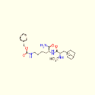 NC(=O)C(CCCCNC(=O)OCc1ccccc1)NC(=O)C(CC12CCC(CC1)CC2)NC(=O)O